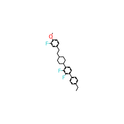 CCc1ccc(-c2ccc(C3CCC(CCc4ccc(OC)c(F)c4)CC3)c(F)c2F)cc1